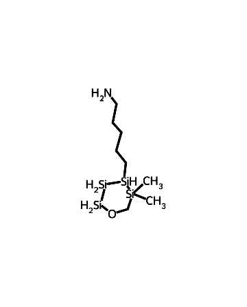 C[Si]1(C)CO[SiH2][SiH2][SiH]1CCCCCN